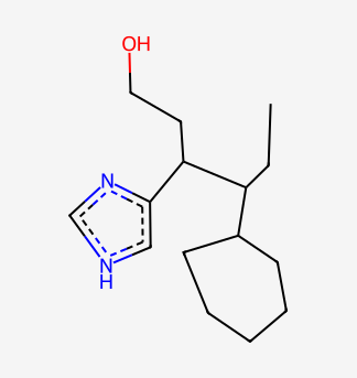 CCC(C1CCCCC1)C(CCO)c1c[nH]cn1